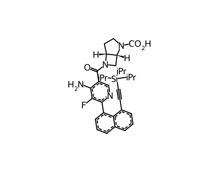 CC(C)[Si](C#Cc1cccc2cccc(-c3ncc(C(=O)N4C[C@@H]5[C@H]4CCN5C(=O)O)c(N)c3F)c12)(C(C)C)C(C)C